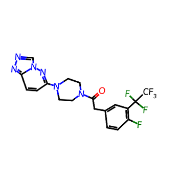 O=C(Cc1ccc(F)c(C(F)(F)C(F)(F)F)c1)N1CCN(c2ccc3nncn3n2)CC1